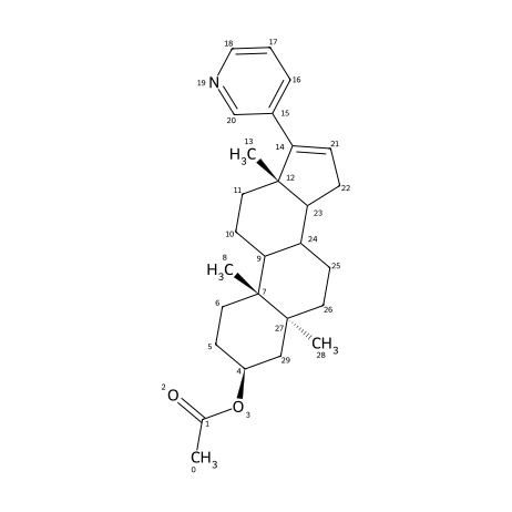 CC(=O)O[C@H]1CC[C@]2(C)C3CC[C@]4(C)C(c5cccnc5)=CCC4C3CC[C@@]2(C)C1